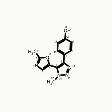 Cc1ncc(-c2c(-c3ccc(O)cc3)nnn2C)o1